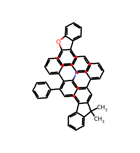 CC1(C)c2ccccc2-c2ccc(-c3ccccc3N(c3ccc4oc5ccccc5c4c3)c3cccc(-c4ccccc4)c3-c3ccccc3-c3ccccc3)cc21